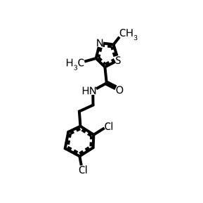 Cc1nc(C)c(C(=O)NCCc2ccc(Cl)cc2Cl)s1